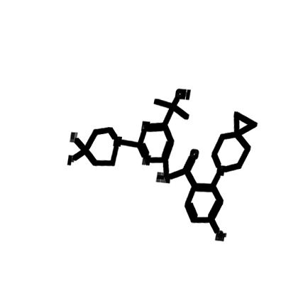 CC(C)(O)c1cc(NC(=O)c2ccc(Br)cc2N2CCC3(CC2)CC3)nc(N2CCC(F)(F)CC2)n1